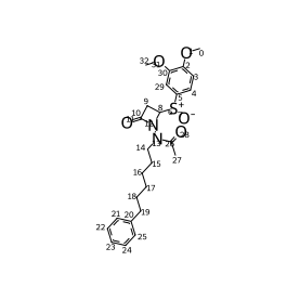 COc1ccc([S+]([O-])C2CC(=O)N2N(CCCCCCc2ccccc2)C(C)=O)cc1OC